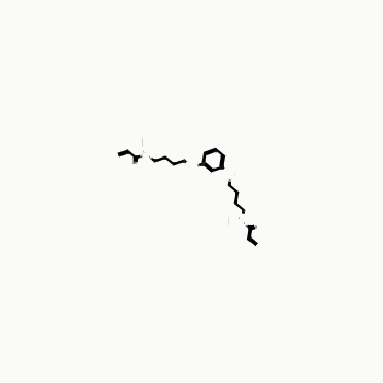 C=CC(=O)NCCCCOc1cccc(OCCCCNC(=O)C=C)c1